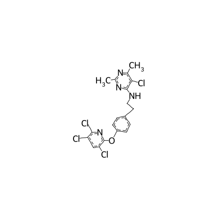 Cc1nc(C)c(Cl)c(NCCc2ccc(Oc3nc(Cl)c(Cl)cc3Cl)cc2)n1